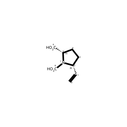 C=C[C@H]1CC[C@@H](C(=O)O)N1C(=O)O